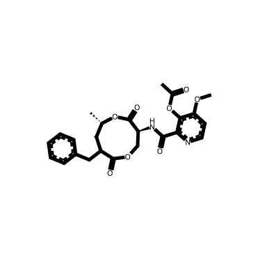 COc1ccnc(C(=O)N[C@H]2COC(=O)C(Cc3ccccc3)[CH][C@H](C)OC2=O)c1OC(C)=O